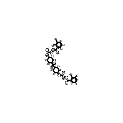 Cc1cccc(C(=O)OOC(=O)OC2CCC(C(C)(C)C3CCC(OC(=O)OOC(=O)c4cccc(C)c4C)CC3)CC2)c1C